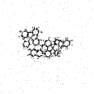 c1ccc(C2(c3ccc(N(c4cccc5c4-c4ccccc4C54c5ccccc5-n5c6ccccc6c6cccc4c65)c4cccc5ccccc45)cc3)c3ccccc3-c3ccccc32)cc1